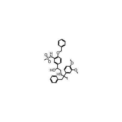 COc1ccc(C(I)(Cc2ccccc2)NCC(O)c2ccc(OCc3ccccc3)c(NS(C)(=O)=O)c2)cc1OC